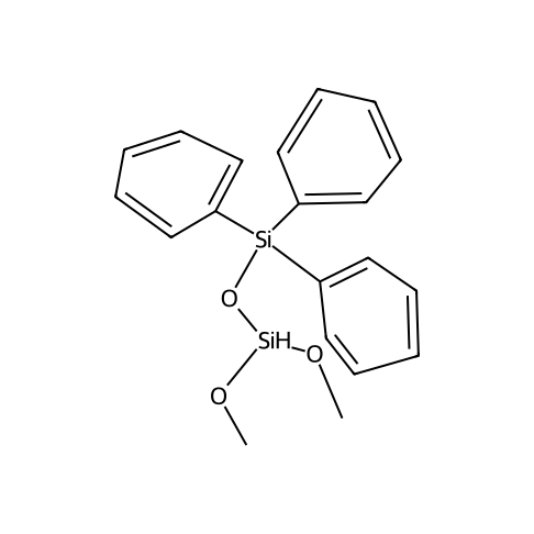 CO[SiH](OC)O[Si](c1ccccc1)(c1ccccc1)c1ccccc1